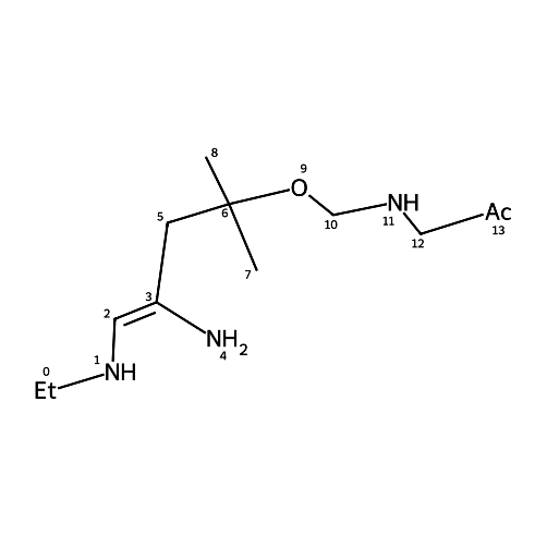 CCN/C=C(\N)CC(C)(C)OCNCC(C)=O